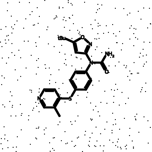 Cc1cnccc1Sc1ccc(N(C(N)=O)c2cc(C(C)(C)C)on2)cc1